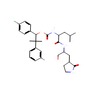 CC(C)CC(NC(=O)OC(c1ccc(Cl)cc1)C(C)(C)c1cccc(Cl)c1)C(=O)NC(CO)CC1CCNC1=O